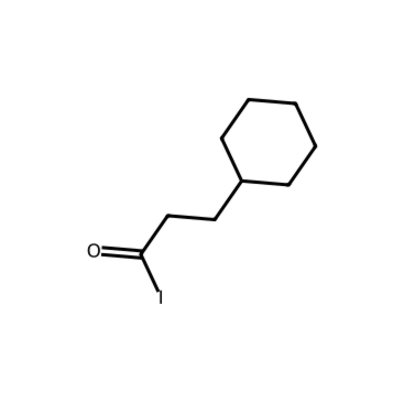 O=C(I)CCC1CCCCC1